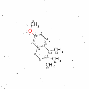 COc1ccc2c(c1)CCC(C)(C)C2C